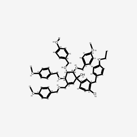 CCOc1ccc(Cc2cc(C3(O)C=C(COCc4ccc(OC)cc4)[C@@H](OCc4ccc(OC)cc4)[C@H](OCc4ccc(OC)cc4)[C@H]3OCc3ccc(OC)cc3)ccc2Cl)cc1